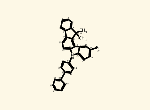 CC1(C)c2ccccc2-c2ccc3c(c21)c1cc(Br)ccc1n3-c1ccc(-c2ccccc2)cc1